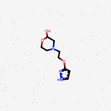 OC1CN(CCOc2cc[nH]n2)CCO1